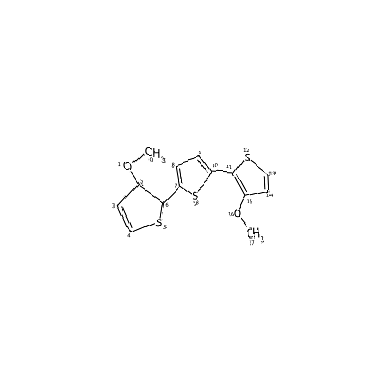 CO[C]1C=CSC1c1ccc(-c2sccc2OC)s1